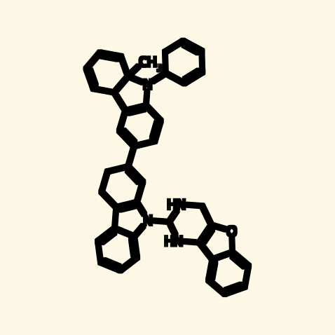 CC12C=CC=CC1c1cc(C3=Cc4c(c5ccccc5n4C4NCc5oc6ccccc6c5N4)CC3)ccc1N2C1C=CC=CC1